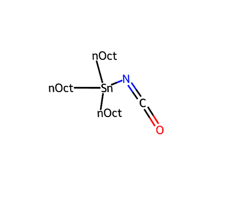 CCCCCCC[CH2][Sn]([CH2]CCCCCCC)([CH2]CCCCCCC)[N]=C=O